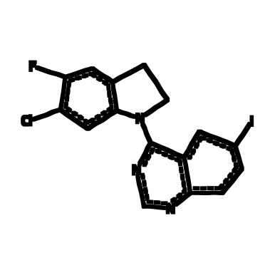 Fc1cc2c(cc1Cl)N(c1ncnc3ccc(I)cc13)CC2